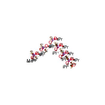 CC(C)OP(=S)([S-])OC(C)C.CC(C)OP(=S)([S-])OC(C)C.CC(C)OP(=S)([S-])OC(C)C.CC(C)OP(=S)([S-])OC(C)C.CC(C)OP(=S)([S-])OC(C)C.CC(C)OP(=S)([S-])OC(C)C.O=S.[Mo+6]